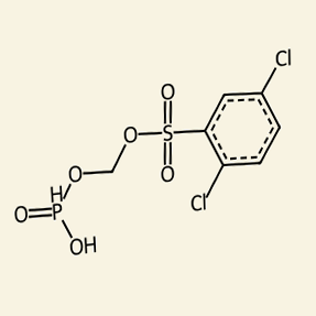 O=[PH](O)OCOS(=O)(=O)c1cc(Cl)ccc1Cl